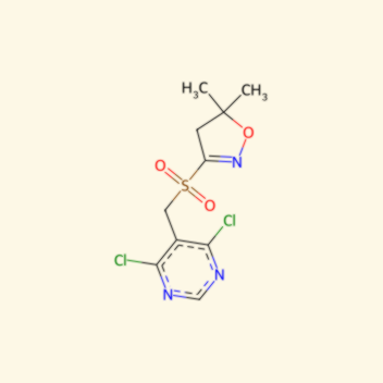 CC1(C)CC(S(=O)(=O)Cc2c(Cl)ncnc2Cl)=NO1